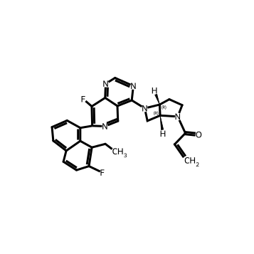 C=CC(=O)N1CC[C@@H]2[C@H]1CN2c1ncnc2c(F)c(-c3cccc4ccc(F)c(CC)c34)ncc12